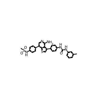 Cc1cccc(NC(=O)Nc2ccc(-c3csc4c(-c5ccc(NS(C)(=O)=O)cc5)cnc(N)c34)cc2)c1